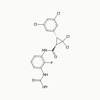 CCCC(=O)Nc1cccc(NC(=O)[C@H]2[C@H](c3cc(Cl)cc(Cl)c3)C2(Cl)Cl)c1F